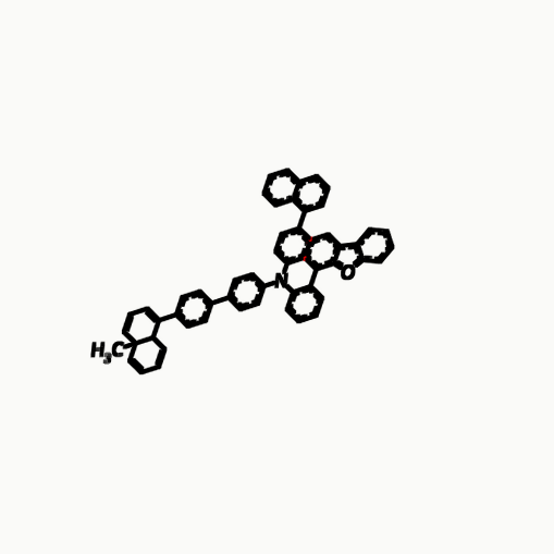 CC12C=CC=CC1C(c1ccc(-c3ccc(N(c4ccc(-c5cccc6ccccc56)cc4)c4ccccc4-c4cccc5c4oc4ccccc45)cc3)cc1)=CC=C2